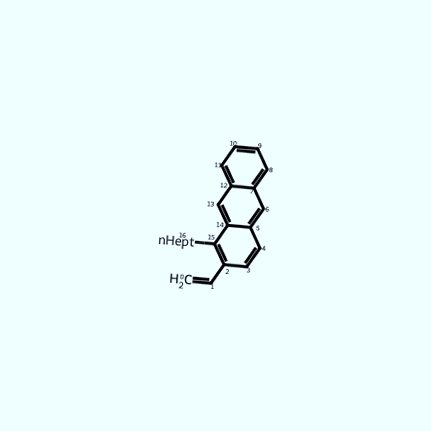 C=Cc1ccc2cc3ccccc3cc2c1CCCCCCC